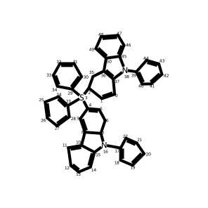 C1=CC(S(C2=CCC3C(=C2)c2ccccc2N3c2ccccc2)(c2ccccc2)c2ccccc2)Cc2c1n(-c1ccccc1)c1ccccc21